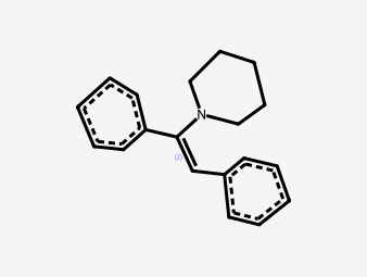 C(=C(\c1ccccc1)N1CCCCC1)/c1ccccc1